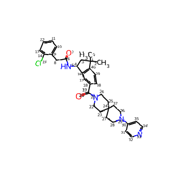 CC1(C)CC(NC(=O)Cc2ccccc2Cl)c2cc(C(=O)N3CCC4(CC3)CCN(c3ccncc3)CC4)ccc21